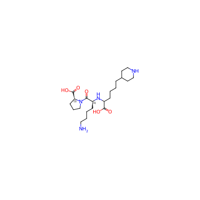 NCCCC[C@H](NC(CCCCC1CCNCC1)C(=O)O)C(=O)N1CCC[C@H]1C(=O)O